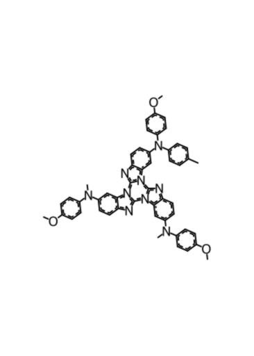 COc1ccc(N(C)c2ccc3nc4n(c3c2)c2nc3ccc(N(c5ccc(C)cc5)c5ccc(OC)cc5)cc3n2c2nc3ccc(N(C)c5ccc(OC)cc5)cc3n42)cc1